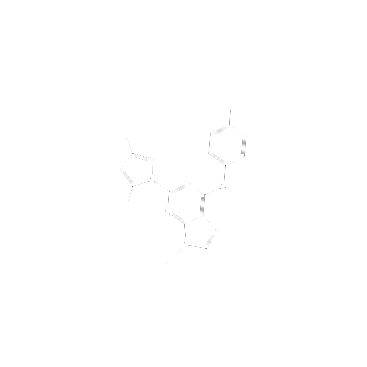 Cc1cc(Cl)n(-c2nc(Nc3ccc(Cl)cc3)c3ncn(C)c3n2)n1